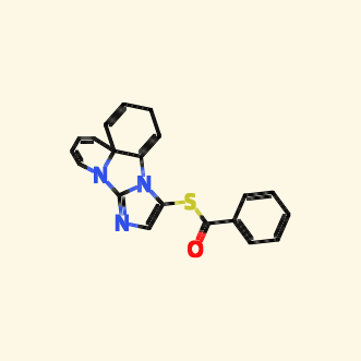 O=C(Sc1cnc2n1C1=CCC=CC13C=CC=CN23)c1ccccc1